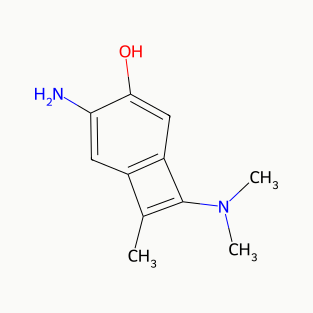 CC1=C(N(C)C)c2cc(O)c(N)cc21